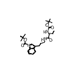 CC[C@H](NC(=O)OC(C)(C)C)C(=O)NCCCc1cn(C(=O)OC(C)(C)C)c2ccccc12